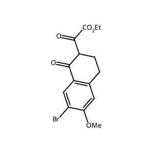 CCOC(=O)C(=O)C1CCc2cc(OC)c(Br)cc2C1=O